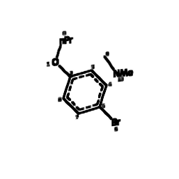 CCCOc1ccc(Br)cc1.CNC